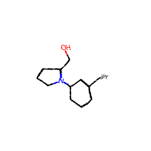 CC(C)C1CCCC(N2CCCC2CO)C1